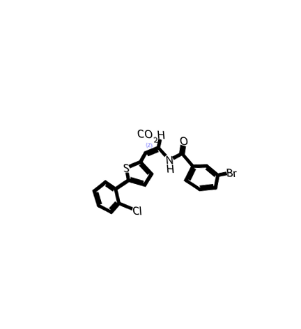 O=C(O)/C(=C/c1ccc(-c2ccccc2Cl)s1)NC(=O)c1cccc(Br)c1